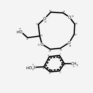 Cc1ccc(S(=O)(=O)O)cc1.OCC1COCCOCCOCCO1